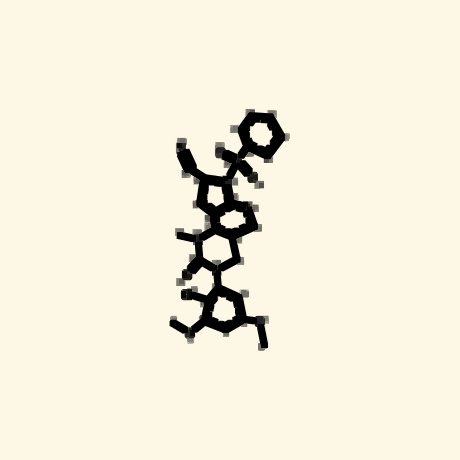 COc1cc(OC)c(Cl)c(N2Cc3cnc4c(cc(C#N)n4S(=O)(=O)c4ccccc4)c3N(C)C2=O)c1